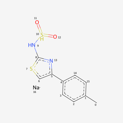 Cc1ccc(-c2csc(N[SH](=O)=O)n2)cc1.[Na]